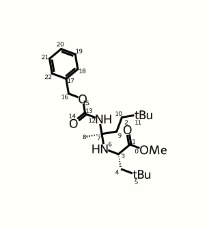 COC(=O)[C@H](CC(C)(C)C)N[C@](C)(CCC(C)(C)C)NC(=O)OCc1ccccc1